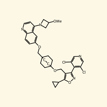 COC1CN(c2ccnc3ccc(OCC45CCC(OCc6c(-c7c(Cl)cncc7Cl)noc6C6CC6)(CC4)CC5)cc23)C1